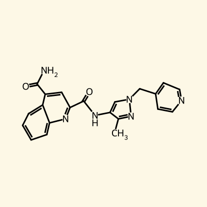 Cc1nn(Cc2ccncc2)cc1NC(=O)c1cc(C(N)=O)c2ccccc2n1